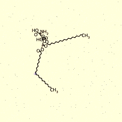 CCCCCCCCCC/C=C\CCCCCCCCCC(=O)OC[C@H](COP(=O)(O)OC[C@H](N)C(=O)O)OC(=O)CCCCCCCCCCCCCCCCC